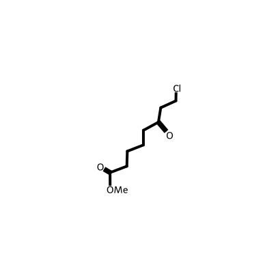 COC(=O)CCCCC(=O)CCCl